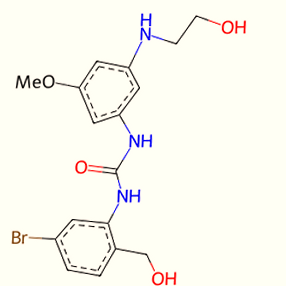 COc1cc(NCCO)cc(NC(=O)Nc2cc(Br)ccc2CO)c1